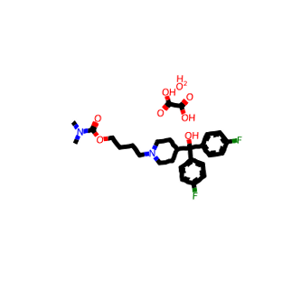 CN(C)C(=O)OCCCCN1CCC(C(O)(c2ccc(F)cc2)c2ccc(F)cc2)CC1.O.O=C(O)C(=O)O